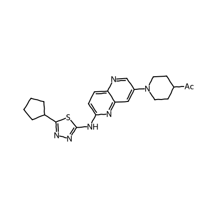 CC(=O)C1CCN(c2cnc3ccc(Nc4nnc(C5CCCC5)s4)nc3c2)CC1